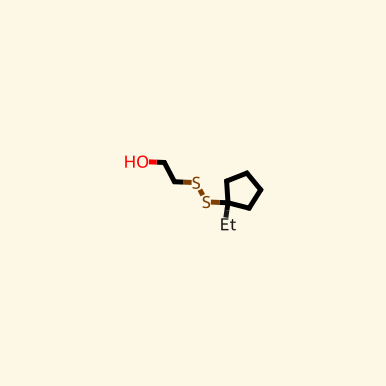 CCC1(SSCCO)CCCC1